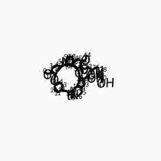 COc1ccc2cc1Oc1ccc(cc1)C[C@H]1c3cc(c(CO)cc3CCN1C)Oc1c(OCC(O)CN(C)CCO)c(OC)cc3c1[C@H](C2)N(C)CC3